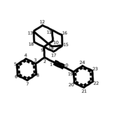 C(#CC(c1ccccc1)C12CC3CC(CC(C3)C1)C2)c1ccccc1